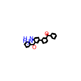 NC1(N)C=CC(c2cccc(C(=O)c3ccccc3)c2)=CC1C(=O)c1ccccc1